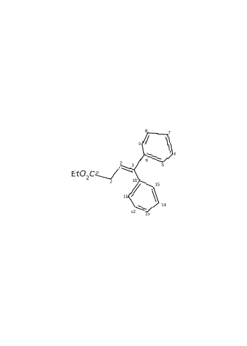 CCOC(=O)CC=C(c1ccccc1)c1ccccc1